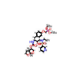 CCCCOP(=O)(COc1ccc(C[C@H](NC(=O)O[C@H]2CO[C@H]3OCC[C@H]32)[C@H](O)CN(CC(C)C)S(=O)(=O)c2cccnc2)cc1)OCCCC